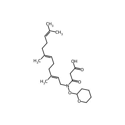 CC(C)=CCC/C(C)=C/CC/C(C)=C/CN(OC1CCCCO1)C(=O)CC(=O)O